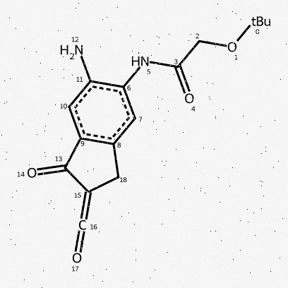 CC(C)(C)OCC(=O)Nc1cc2c(cc1N)C(=O)C(=C=O)C2